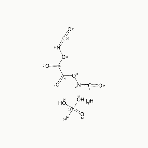 O=C=NOC(=O)C(=O)ON=C=O.O=P(O)(O)F.[LiH]